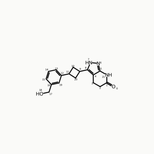 O=C1CCc2c(n[nH]c2C2CC(c3cccc(CO)c3)C2)N1